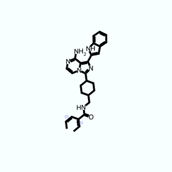 C/C=C\C(=C/C)C(=O)NCC1CCC(c2nc(-c3cc4ccccc4[nH]3)c3c(N)nccn23)CC1